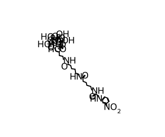 O=C(CCCCCNC(=O)CCCCCNC(=O)CNc1cccc([N+](=O)[O-])c1)NCCCCCCOP(=O)(O)OP(=O)(O)OP(=O)(O)OP(=O)(O)OP(=O)(O)O